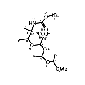 COC(C)OC(C)OC(C)OC(C)[C@@](C)(NC(=O)OC(C)(C)C)C(=O)O